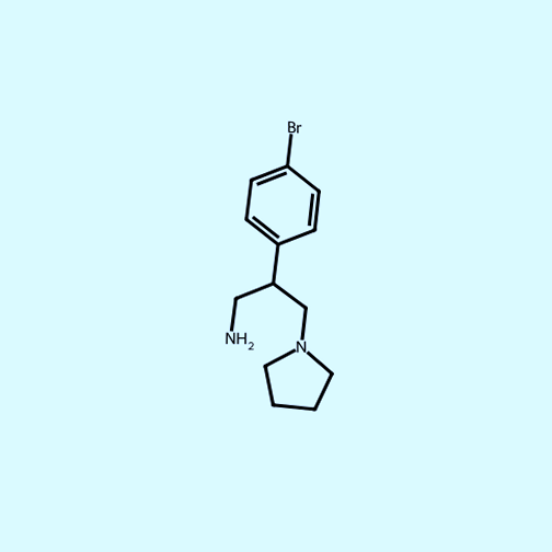 NCC(CN1CCCC1)c1ccc(Br)cc1